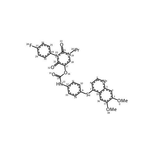 COc1cc2nccc(Sc3ccc(NC(=O)Oc4cn(C(C)C)c(=O)n(-c5ccc(F)cc5)c4=O)cc3)c2cc1OC